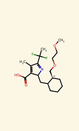 COCCOC[C@H]1CCCCC1CC1N=C(C(C)(F)F)C(C)=C1C(=O)O